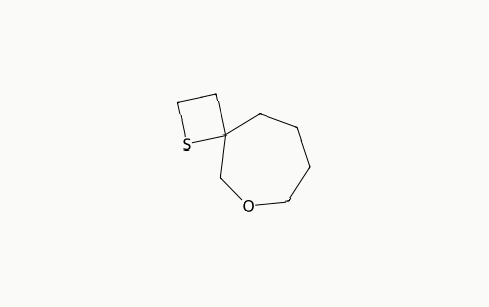 C1CCC2(CCS2)COC1